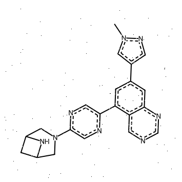 Cn1cc(-c2cc(-c3cnc(N4CC5CC(C4)N5)cn3)c3cncnc3c2)cn1